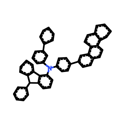 c1ccc(-c2cccc(N(c3ccc(-c4ccc5ccc6c7ccccc7ccc6c5c4)cc3)c3cccc4c3-c3ccccc3C4c3ccccc3)c2)cc1